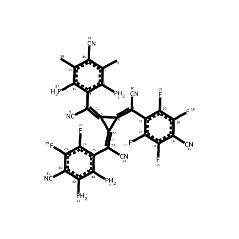 Cc1c(P)c(/C(C#N)=C2\C(=C(C#N)c3c(F)c(F)c(C#N)c(F)c3F)\C2=C(/C#N)c2c(F)c(F)c(C#N)c(P)c2P)c(P)c(C)c1C#N